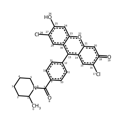 CC1CCCCN1C(=O)c1ccc(-c2c3cc(Cl)c(=O)cc-3oc3cc(O)c(Cl)cc23)cc1